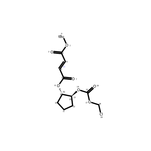 CC(C)(C)OC(=O)/C=C/C(=O)O[C@H]1CCC[C@@H]1OC(=O)OCCl